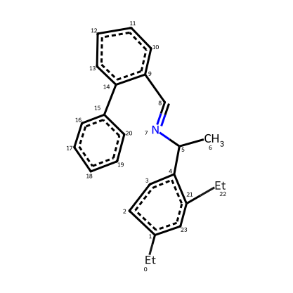 CCc1ccc(C(C)N=Cc2ccccc2-c2ccccc2)c(CC)c1